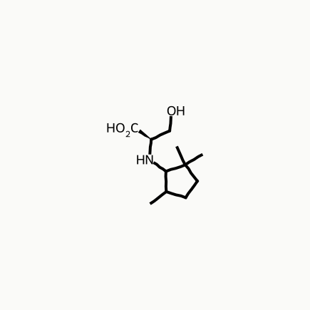 CC1CCC(C)(C)C1N[C@H](CO)C(=O)O